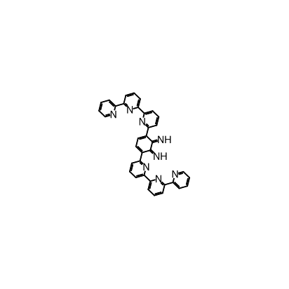 N=C1C(=N)C(c2cccc(-c3cccc(-c4ccccn4)n3)n2)=CC=C1c1cccc(-c2cccc(-c3ccccn3)n2)n1